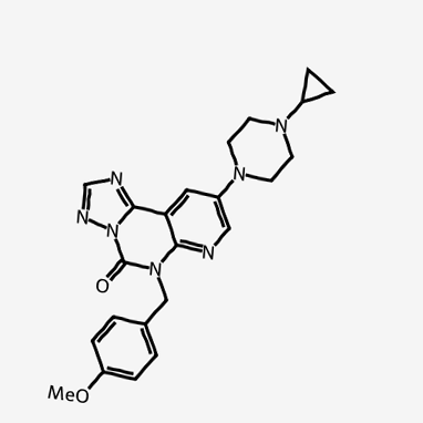 COc1ccc(Cn2c(=O)n3ncnc3c3cc(N4CCN(C5CC5)CC4)cnc32)cc1